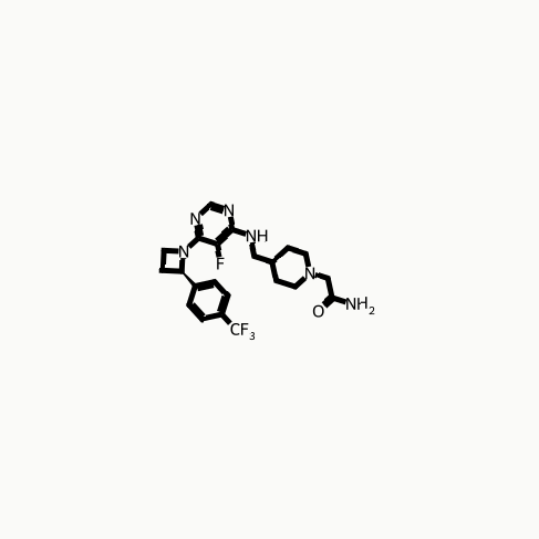 NC(=O)CN1CCC(CNc2ncnc(N3CC[C@@H]3c3ccc(C(F)(F)F)cc3)c2F)CC1